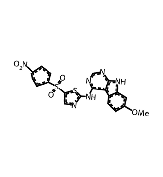 COc1ccc2c(c1)[nH]c1ncnc(Nc3ncc(S(=O)(=O)c4ccc([N+](=O)[O-])cc4)s3)c12